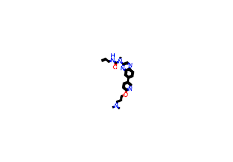 C=CCNC(=O)N(C)c1cnc2ccc(-c3ccc(OCCCN(C)C)nc3)cc2n1